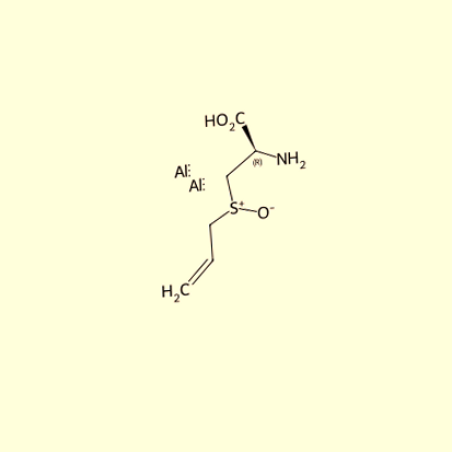 C=CC[S+]([O-])C[C@H](N)C(=O)O.[Al].[Al]